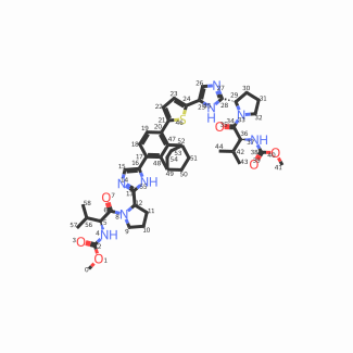 COC(=O)N[C@H](C(=O)N1CCCC1c1ncc(-c2ccc(-c3ccc(-c4cnc([C@@H]5CCCN5C(=O)[C@@H](NC(=O)OC)C(C)C)[nH]4)s3)c3c2C2CCC3CC2)[nH]1)C(C)C